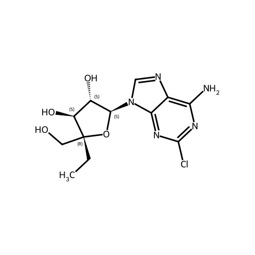 CC[C@]1(CO)O[C@H](n2cnc3c(N)nc(Cl)nc32)[C@@H](O)[C@@H]1O